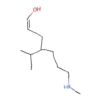 CNCCCC(C/C=C\O)C(C)C